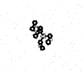 c1ccc(-n2c3ccccc3c3cccc(-n4c5ccccc5c5c(-c6nc(-c7ccc8sc9ccccc9c8c7)nc(-c7cccc8oc9ccccc9c78)n6)cccc54)c32)cc1